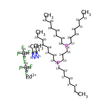 CC#N.CC#N.CCCCCCCCP(CCCCCCCC)CCCP(CCCCCCCC)CCCCCCCC.F[B-](F)(F)F.F[B-](F)(F)F.[Pd+2]